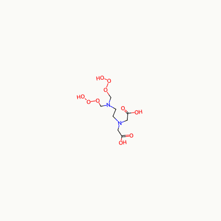 O=C(O)CN(CCN(COOO)COOO)CC(=O)O